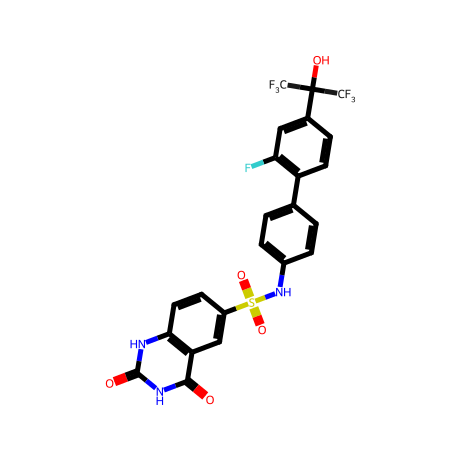 O=c1[nH]c(=O)c2cc(S(=O)(=O)Nc3ccc(-c4ccc(C(O)(C(F)(F)F)C(F)(F)F)cc4F)cc3)ccc2[nH]1